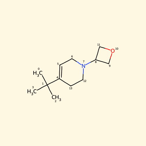 CC(C)(C)C1=CCN(C2COC2)CC1